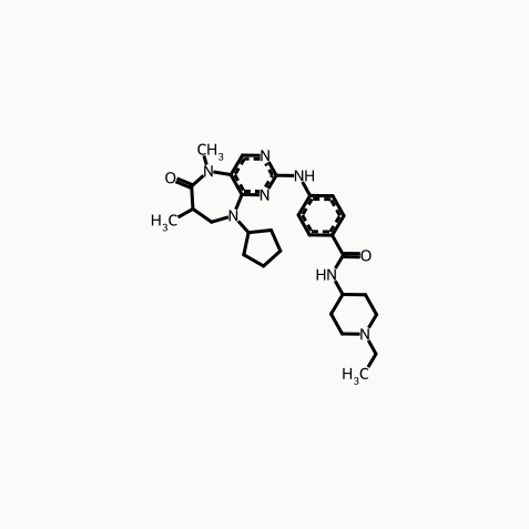 CCN1CCC(NC(=O)c2ccc(Nc3ncc4c(n3)N(C3CCCC3)CC(C)C(=O)N4C)cc2)CC1